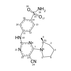 C[C@H]1CCCCN1c1nc(Nc2ccc(S(N)(=O)=O)cc2)ncc1C#N